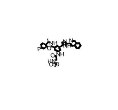 C[C@@H](NC(=O)c1cc(NC(=O)CNS(C)(=O)=O)cc(-c2cnc(-c3cc4ccccc4cn3)[nH]2)c1)c1ccc(F)cc1